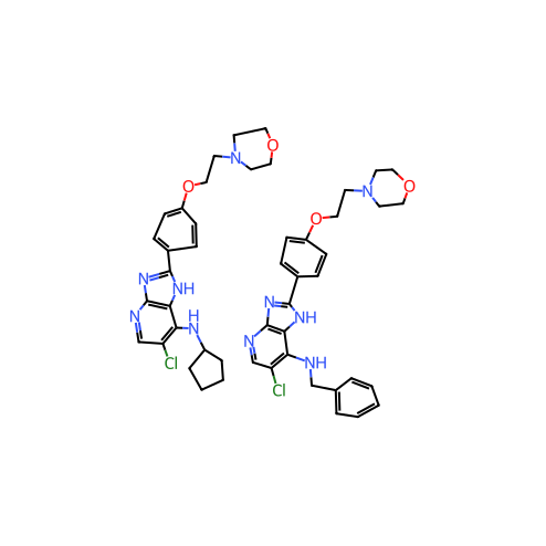 Clc1cnc2nc(-c3ccc(OCCN4CCOCC4)cc3)[nH]c2c1NC1CCCC1.Clc1cnc2nc(-c3ccc(OCCN4CCOCC4)cc3)[nH]c2c1NCc1ccccc1